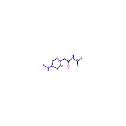 CNN1CCN(CC(=O)NC(C)C)CC1